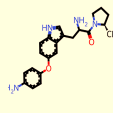 N#C[C@@H]1CCCN1C(=O)C(N)Cc1c[nH]c2ccc(Oc3ccc(N)cc3)cc12